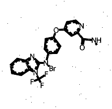 CNC(=O)c1cc(Oc2ccc(N(Br)c3nc4ccccc4n3C(F)(F)F)cc2)ccn1